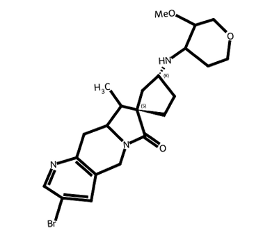 COC1COCCC1N[C@@H]1CC[C@@]2(C1)C(=O)N1Cc3cc(Br)cnc3CC1C2C